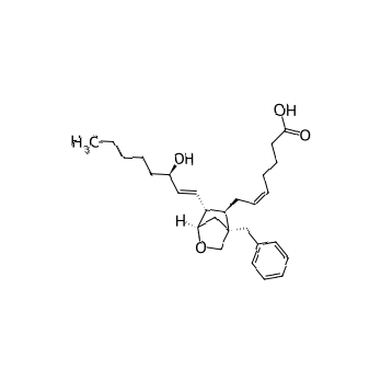 CCCCC[C@@H](O)/C=C/[C@@H]1[C@@H](C/C=C\CCCC(=O)O)[C@@]2(Cc3ccccc3)CO[C@@H]1C2